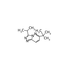 CC(C)c1nnc2ccc(C(C)(C)C)nn12